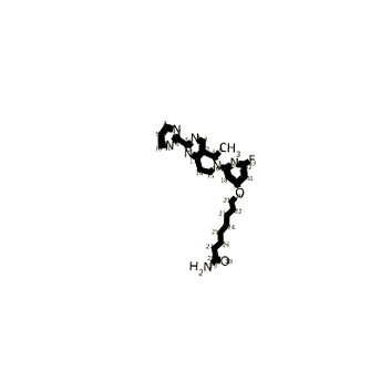 CC1c2cnc(-c3ncccn3)nc2CCN1c1cc(OCCCCCCCC(N)=O)cc(F)n1